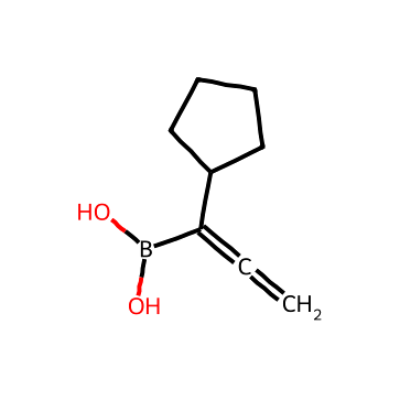 C=C=C(B(O)O)C1CCCC1